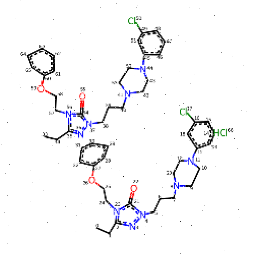 CCc1nn(CCCN2CCN(c3cccc(Cl)c3)CC2)c(=O)n1CCOc1ccccc1.CCc1nn(CCCN2CCN(c3cccc(Cl)c3)CC2)c(=O)n1CCOc1ccccc1.Cl